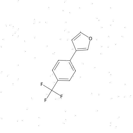 FC(F)(F)c1ccc(-c2c[c]oc2)cc1